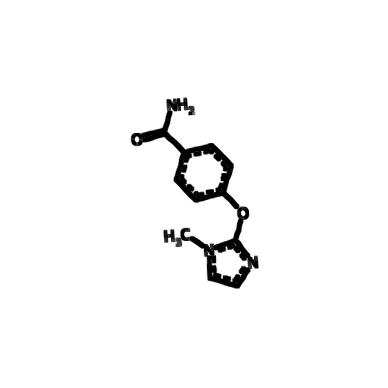 Cn1ccnc1Oc1ccc(C(N)=O)cc1